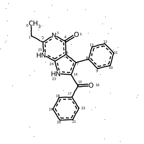 CCc1nc(=O)c2c(-c3ccccc3)c(C(=O)c3ccccc3)[nH]c2[nH]1